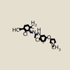 C#Cc1ccc(=C)/c(=C\N=C(/CC)Nc2cccc(O[C@@H]3CCN(C)C3)c2)c1Cl